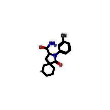 N#Cc1cccc(N2C(=O)C3(C[CH]CCC3)CC2C(N)=O)c1